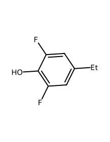 CCc1cc(F)c(O)c(F)c1